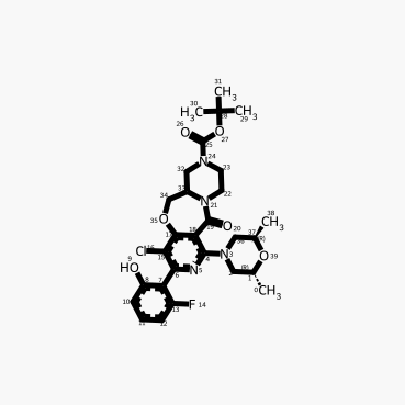 C[C@@H]1CN(c2nc(-c3c(O)cccc3F)c(Cl)c3c2C(=O)N2CCN(C(=O)OC(C)(C)C)CC2CO3)C[C@@H](C)O1